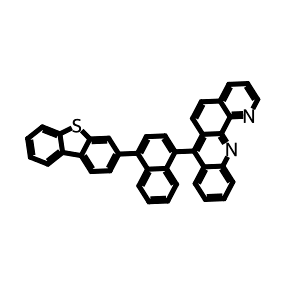 c1cnc2c(c1)ccc1c(-c3ccc(-c4ccc5c(c4)sc4ccccc45)c4ccccc34)c3ccccc3nc12